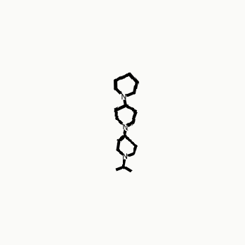 CC(C)N1CCC(N2CCC(N3CCCCC3)CC2)CC1